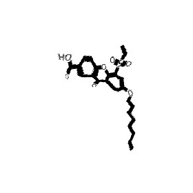 CCCCCCCCOc1cc(S(=O)(=O)CC)c2oc3ccc(C(=O)O)cc3c(=O)c2c1